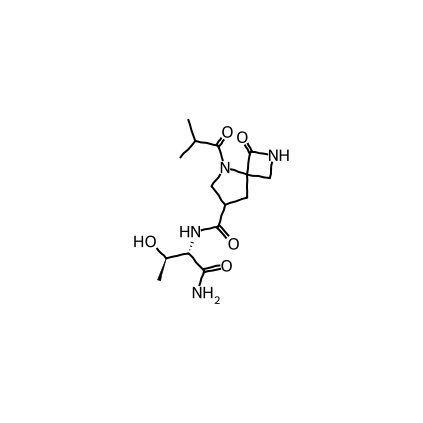 CC(C)C(=O)N1CC(C(=O)N[C@H](C(N)=O)[C@@H](C)O)CC12CNC2=O